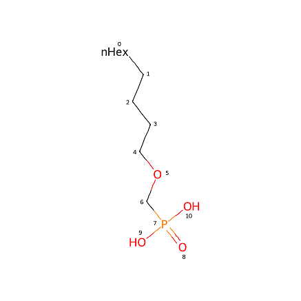 CCCCCCCCCCOCP(=O)(O)O